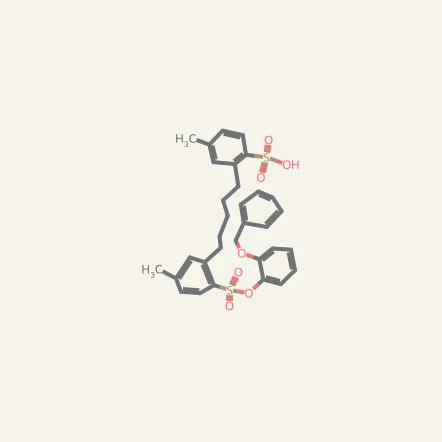 Cc1ccc(S(=O)(=O)O)c(CCCCCc2cc(C)ccc2S(=O)(=O)Oc2ccccc2OCc2ccccc2)c1